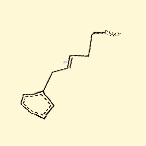 O=[C]CC/C=C/Cc1ccccc1